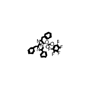 O=C(Oc1c(F)c(F)c(F)c(F)c1F)Oc1c(Cc2ccccc2)nc2c(Cc3ccccc3)nc(-c3ccccc3)cn12